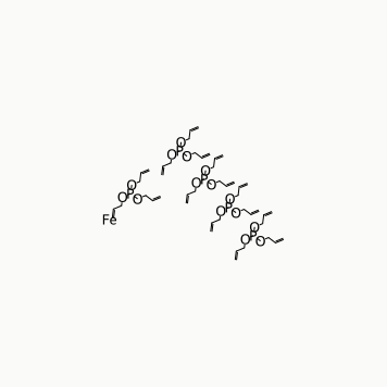 C=CCOP(OCC=C)OCC=C.C=CCOP(OCC=C)OCC=C.C=CCOP(OCC=C)OCC=C.C=CCOP(OCC=C)OCC=C.C=CCOP(OCC=C)OCC=C.[Fe]